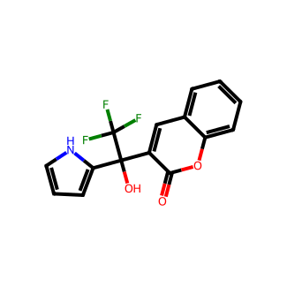 O=c1oc2ccccc2cc1C(O)(c1ccc[nH]1)C(F)(F)F